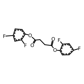 O=C(CCC(=O)Oc1ccc(F)cc1F)Oc1ccc(F)cc1F